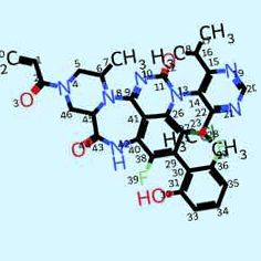 C=CC(=O)N1CC(C)N2c3nc(=O)n(-c4c(C(C)C)ncnc4C(C)C)c4c(Cl)c(-c5c(O)cccc5F)c(F)c(c34)NC(=O)C2C1